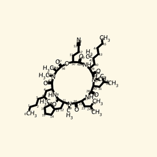 CCCCC(C)CC1NC(O)C(CC2CCCC2)N(C)C(=O)C(CC(C)C)NC(=O)C(CC(C)C)N(C)C(=O)C(C[C@H](C)CCCC)NC(=O)C(CCC#N)OC(=O)C(C)N(C)C1=O